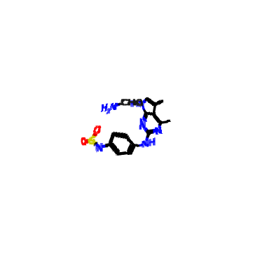 Cc1c[nH]c2nc(Nc3ccc(N=S(=O)=O)cc3)nc(C)c12.NC=O